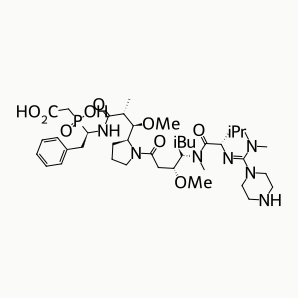 CC[C@H](C)[C@@H]([C@@H](CC(=O)N1CCC[C@H]1[C@H](OC)[C@@H](C)C(=O)N[C@@H](Cc1ccccc1)P(=O)(O)CC(=O)O)OC)N(C)C(=O)[C@@H](/N=C(\N(C)C)N1CCNCC1)C(C)C